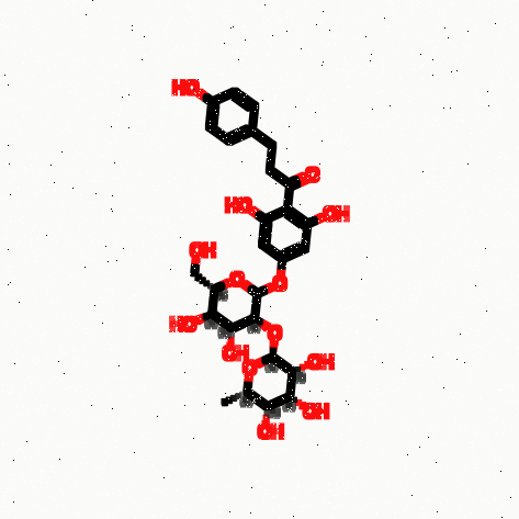 C[C@@H]1O[C@@H](O[C@@H]2C(Oc3cc(O)c(C(=O)CCc4ccc(O)cc4)c(O)c3)O[C@@H](CO)[C@H](O)[C@H]2O)[C@H](O)[C@H](O)[C@@H]1O